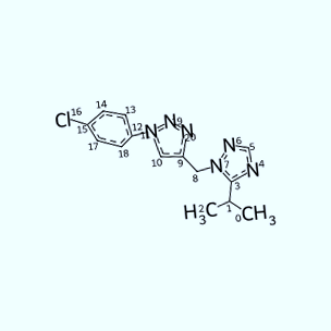 CC(C)c1ncnn1Cc1cn(-c2ccc(Cl)cc2)nn1